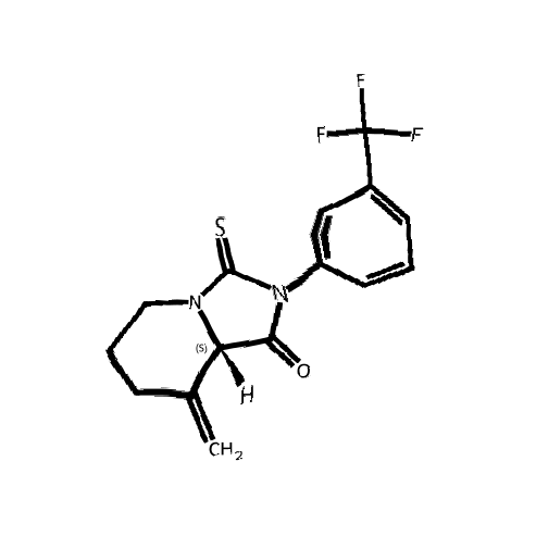 C=C1CCCN2C(=S)N(c3cccc(C(F)(F)F)c3)C(=O)[C@H]12